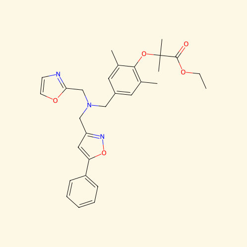 CCOC(=O)C(C)(C)Oc1c(C)cc(CN(Cc2cc(-c3ccccc3)on2)Cc2ncco2)cc1C